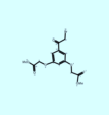 COC(=O)COc1cc(OCC(=O)OC)cc(C(=O)CBr)c1